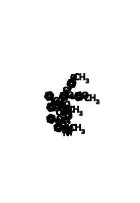 COc1ccc(COc2ccc(C(C(=O)N[C@]3(OC)C(=O)N4C(C(=O)OC(c5ccccc5)c5ccccc5)=C(CSc5nnnn5C)CS[C@H]43)C(=O)OC(c3ccccc3)c3ccccc3)cc2OCc2ccc(OC)cc2)cc1